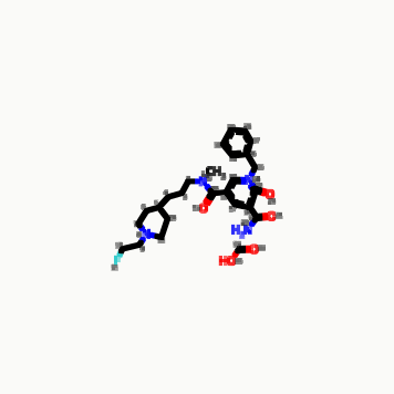 CN(CCCC1CCN(CCF)CC1)C(=O)c1cc(C(N)=O)c(=O)n(Cc2ccccc2)c1.O=CO